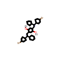 CCOc1cc(/C=C(\c2ccccc2)c2ccc(Br)cc2)c(OCC)cc1/C=C(\c1ccccc1)c1ccc(Br)cc1